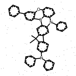 CC1(C)c2cc(N(c3ccccc3)c3ccccc3)ccc2-c2cc3c(cc21)B1c2ccc(-c4ccccc4)cc2Oc2cccc(c21)N3c1ccccc1